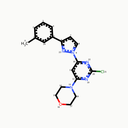 Cc1cccc(-c2ccn(-c3cc(N4CCOCC4)nc(Cl)n3)n2)c1